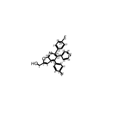 OCc1cc2c(-c3ccc(F)cc3)c(-c3ccncc3)c(-c3ccc(F)cc3)nc2o1